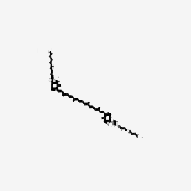 CC1=C(/C=C/C(C)=C/C=C/C(C)=C/C=C/C=C(C)/C=C/C=C(C)/C=C/C2=C(C)C(=O)C(OC(=O)NCCCNCCCCN)CC2(C)C)C(C)(C)CC(OC(=O)CCCNCCCCN)C1=O